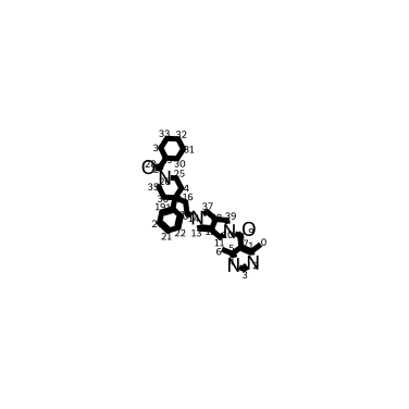 Cc1ncnc(C)c1C(=O)N1CC2=CN(CCC3(c4ccccc4)CCN(C(=O)C4CCCCC4)CC3)CC2C1